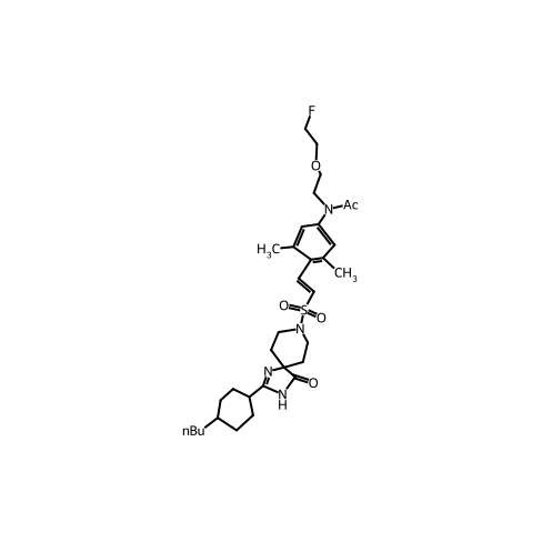 CCCCC1CCC(C2=NC3(CCN(S(=O)(=O)C=Cc4c(C)cc(N(CCOCCF)C(C)=O)cc4C)CC3)C(=O)N2)CC1